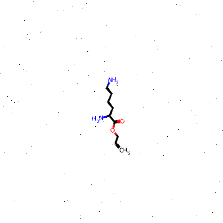 C=CCOC(=O)C(N)CCCCN